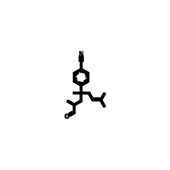 CC(C)=CCC(C)(CC(C)C=O)c1ccc(C#N)cc1